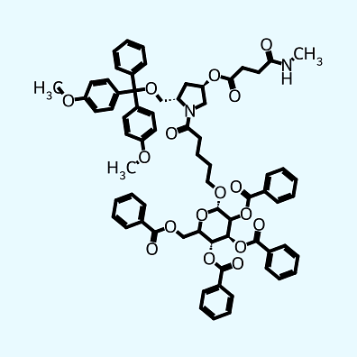 CNC(=O)CCC(=O)O[C@@H]1C[C@@H](COC(c2ccccc2)(c2ccc(OC)cc2)c2ccc(OC)cc2)N(C(=O)CCCCO[C@H]2OC(COC(=O)c3ccccc3)[C@@H](OC(=O)c3ccccc3)[C@H](OC(=O)c3ccccc3)C2OC(=O)c2ccccc2)C1